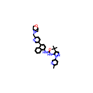 Cc1ccc(-n2ncc(C(C)(C)C)c2NC(=O)Nc2ccc(-c3ccc(CN4CC5CC4CO5)nc3)c3ccccc23)cn1